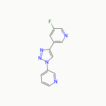 Fc1cncc(-c2cn(-c3cccnc3)nn2)c1